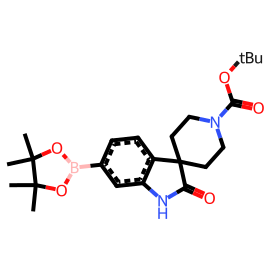 CC(C)(C)OC(=O)N1CCC2(CC1)C(=O)Nc1cc(B3OC(C)(C)C(C)(C)O3)ccc12